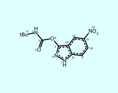 CC(C)(C)NC(=O)Oc1n[nH]c2ccc([N+](=O)[O-])cc12